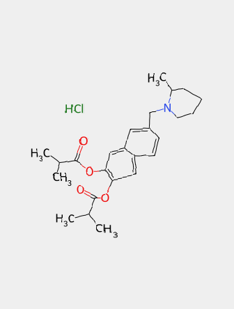 CC(C)C(=O)Oc1cc2ccc(CN3CCCCC3C)cc2cc1OC(=O)C(C)C.Cl